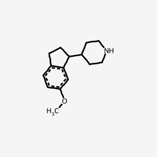 COc1ccc2c(c1)C(C1CCNCC1)CC2